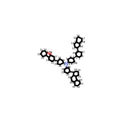 c1cc(-c2ccc(N(c3ccc(-c4ccc5c(c4)oc4ccccc45)cc3)c3cccc(-c4cccc5c4ccc4ccccc45)c3)cc2)cc(-c2ccc3ccccc3c2)c1